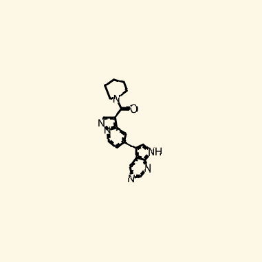 O=C(c1cnn2ccc(-c3c[nH]c4ncncc34)cc12)N1CCCCC1